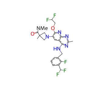 CNC(=O)C1(C)CN(c2cc3c(NCc4cccc(C(F)F)c4F)nc(C)nc3nc2OCC(F)F)C1